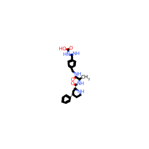 CC(NC(=O)[C@H]1C[C@@H](c2ccccc2)CCN1)C(=O)NCc1ccc(C(=N)NC(=O)O)cc1